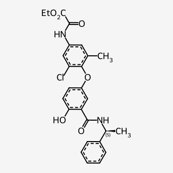 CCOC(=O)C(=O)Nc1cc(C)c(Oc2ccc(O)c(C(=O)N[C@@H](C)c3ccccc3)c2)c(Cl)c1